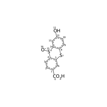 O=C(O)c1ccc2c(c1)Sc1ccc(O)cc1[S+]2[O-]